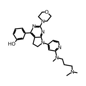 CN(C)CCCN(C)c1cc(N2CCc3c(-c4cccc(O)c4)nc(N4CCOCC4)nc32)ccn1